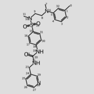 Cc1cccc(N(C)CCN(C)S(=O)(=O)c2ccc(NC(=O)NCc3cccnc3)cc2)c1